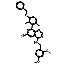 COc1ccc(CNc2ncnc3c(-c4c(C)ccc(OCc5ccccc5)c4C)nc(Cl)cc23)c(OC)c1